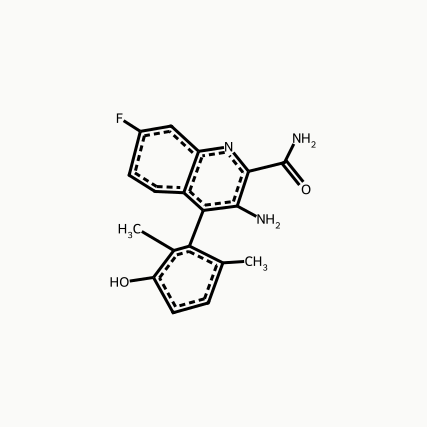 Cc1ccc(O)c(C)c1-c1c(N)c(C(N)=O)nc2cc(F)ccc12